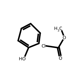 COC(=O)Cl.Oc1ccccc1